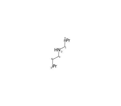 [CH2-][CH+]CCNCCC(C)C